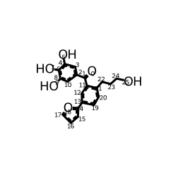 O=C(c1cc(O)c(O)c(O)c1)c1cc(-c2ccco2)ccc1CCCO